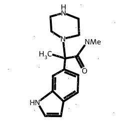 CNC(=O)C(C)(c1ccc2cc[nH]c2c1)N1CCNCC1